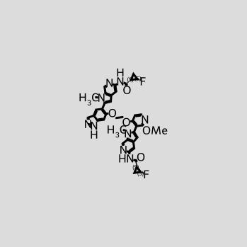 COc1nccc(OCCOc2cc3[nH]ncc3cc2-c2cc3cc(NC(=O)[C@@H]4C[C@@H]4F)ncc3n2C)c1-c1cc2cc(NC(=O)[C@@H]3C[C@@H]3F)ncc2n1C